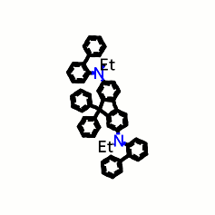 CCN(c1ccc2c(c1)C(c1ccccc1)(c1ccccc1)c1cc(N(CC)c3ccccc3-c3ccccc3)ccc1-2)c1ccccc1-c1ccccc1